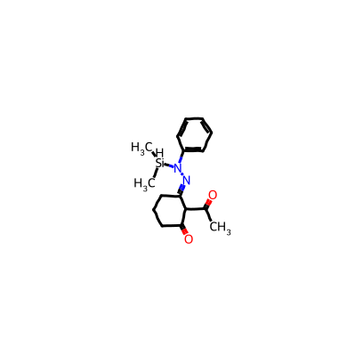 CC(=O)C1C(=O)CCCC1=NN(c1ccccc1)[SiH](C)C